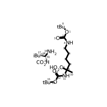 CC(C)(C)OC(=O)NCCCCC(C)(NC(=O)OC(C)(C)C)C(=O)O.CC[C@H](C)[C@H](N)C(=O)O